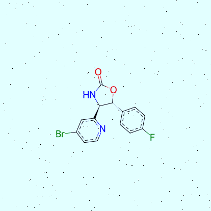 O=C1N[C@H](c2cc(Br)ccn2)[C@@H](c2ccc(F)cc2)O1